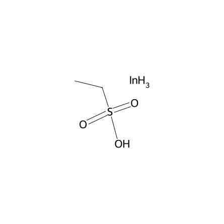 CCS(=O)(=O)O.[InH3]